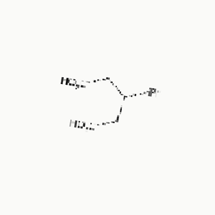 CC(C)C(CC(=O)O)CC(=O)O